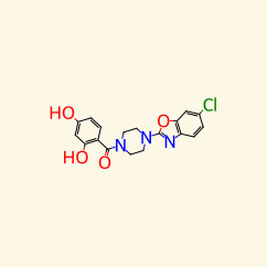 O=C(c1ccc(O)cc1O)N1CCN(c2nc3ccc(Cl)cc3o2)CC1